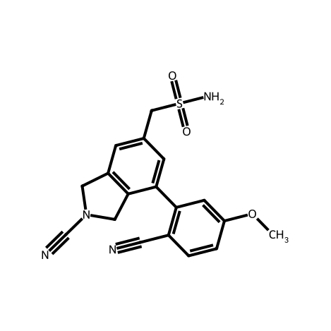 COc1ccc(C#N)c(-c2cc(CS(N)(=O)=O)cc3c2CN(C#N)C3)c1